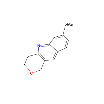 CSc1ccc2cc3c(nc2c1)CCOC3